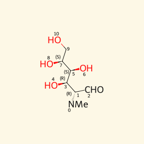 CN[C@@H](C=O)[C@@H](O)[C@H](O)[C@@H](O)CO